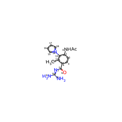 CC(=O)Nc1ccc(C(=O)N=C(N)N)c(C)c1-n1cccc1